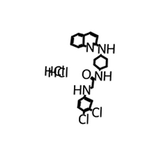 Cl.Cl.O=C(CNc1ccc(Cl)c(Cl)c1)N[C@H]1CC[C@@H](Nc2ccc3ccccc3n2)CC1